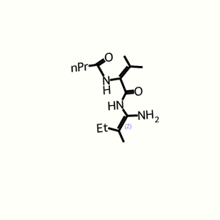 CCCC(=O)NC(C(=O)N/C(N)=C(/C)CC)=C(C)C